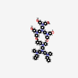 COc1ccc(N(c2ccc(OC)cc2)c2ccc(N(c3ccc(N(c4ccc(OC)cc4)c4ccc(OC)cc4)cc3)c3ccc(N(c4ccc(OC)cc4)c4ccc(OCc5cccc6cc(N(c7ccccc7)c7ccc(N(c8ccc(N(c9ccccc9)c9ccc%10ccccc%10c9)cc8)c8ccc(N(c9ccccc9)c9ccc%10ccccc%10c9)cc8)cc7)ccc56)cc4)cc3)cc2)cc1